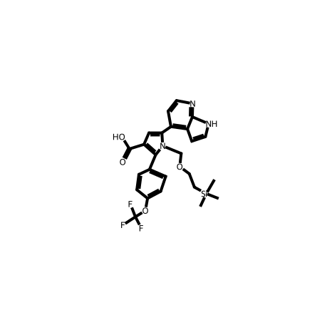 C[Si](C)(C)CCOCn1c(-c2ccnc3[nH]ccc23)cc(C(=O)O)c1-c1ccc(OC(F)(F)F)cc1